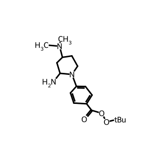 CN(C)C1CCN(c2ccc(C(=O)OOC(C)(C)C)cc2)C(N)C1